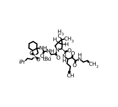 C#CCCC(NC(=O)[C@@H]1[C@@H]2[C@H](CN1C(=O)[C@@H](NC(=O)NC1(CS(=O)(=O)CCC(C)C)CCCCC1)C(C)(C)C)C2(C)C)C(=O)C(=O)NCC=C